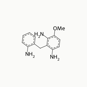 COc1ccc(N)c(Cc2ccccc2N)c1N